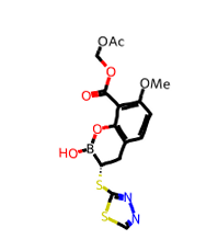 COc1ccc2c(c1C(=O)OCOC(C)=O)OB(O)[C@@H](Sc1nncs1)C2